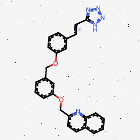 C(=C\c1nnn[nH]1)/c1cccc(OCc2cccc(OCc3ccc4ccccc4n3)c2)c1